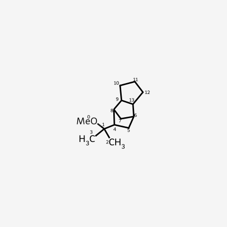 COC(C)(C)C1CC2CC1C1CCCC21